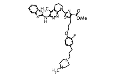 COC(=O)c1nc(N2CCCc3c2nnc(Nc2nc4ccccc4s2)c3C)sc1CCCOc1ccc(CCCN2CCN(C)CC2)cc1F